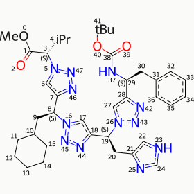 COC(=O)[C@H](C(C)C)n1cc([C@H](CC2CCCCC2)n2cc([C@H](Cc3c[nH]cn3)n3cc([C@H](Cc4ccccc4)NC(=O)OC(C)(C)C)nn3)nn2)nn1